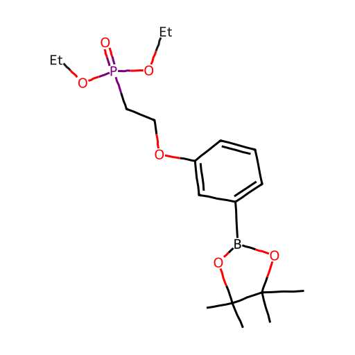 CCOP(=O)(CCOc1cccc(B2OC(C)(C)C(C)(C)O2)c1)OCC